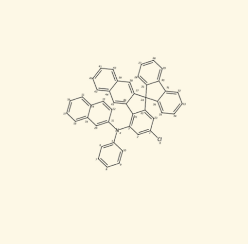 Clc1cc(N(c2ccccc2)c2ccc3ccccc3c2)c2c(c1)C1(c3ccccc3-c3ccccc31)c1cc3ccccc3cc1-2